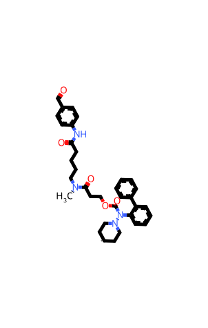 CN(CCCCC(=O)Nc1ccc(C=O)cc1)C(=O)CCOC(=O)N(c1ccccc1-c1ccccc1)N1CC[CH]CC1